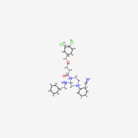 N#Cc1ccccc1N1CCN(C(=O)CCOCc2ccc(Cl)c(Cl)c2)C(NCc2ccccc2)C1